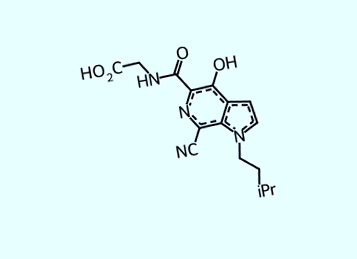 CC(C)CCn1ccc2c(O)c(C(=O)NCC(=O)O)nc(C#N)c21